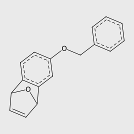 C1=CC2OC1c1ccc(OCc3ccccc3)cc12